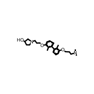 Cc1c(OCCCN(C)C)cccc1-c1cccc(OCCCN2CCC(O)C2)c1C